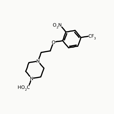 O=C(O)N1CCN(CCOc2ccc(C(F)(F)F)cc2[N+](=O)[O-])CC1